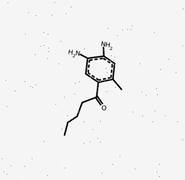 CCCCC(=O)c1cc(N)c(N)cc1C